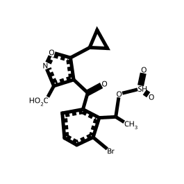 CC(O[SH](=O)=O)c1c(Br)cccc1C(=O)c1c(C(=O)O)noc1C1CC1